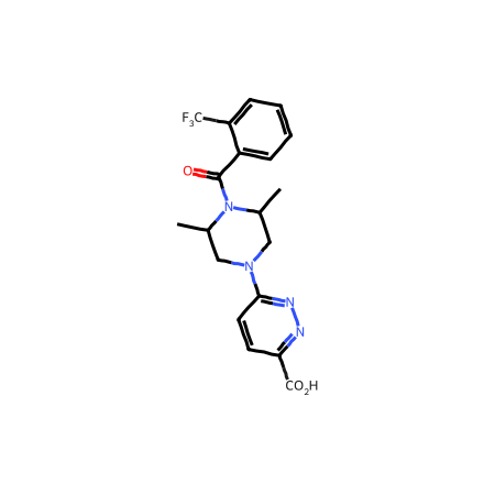 CC1CN(c2ccc(C(=O)O)nn2)CC(C)N1C(=O)c1ccccc1C(F)(F)F